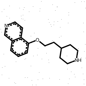 c1cc(OCCC2CCNCC2)c2ccncc2c1